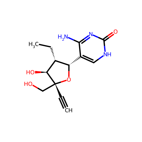 C#C[C@]1(CO)O[C@@H](c2c[nH]c(=O)nc2N)[C@@H](CC)[C@@H]1O